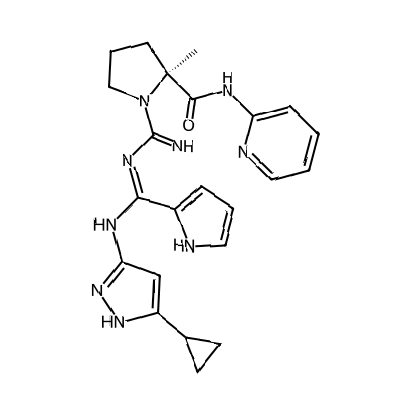 C[C@@]1(C(=O)Nc2ccccn2)CCCN1C(=N)/N=C(/Nc1cc(C2CC2)[nH]n1)c1ccc[nH]1